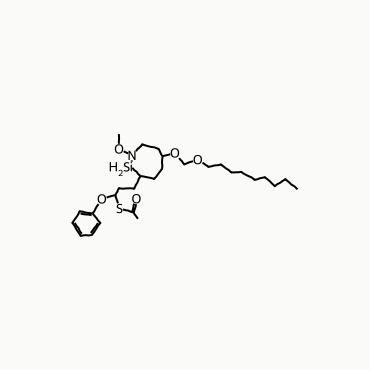 CCCCCCCCCOCOC1CCC(CCC(Oc2ccccc2)SC(C)=O)[SiH2]N(OC)CC1